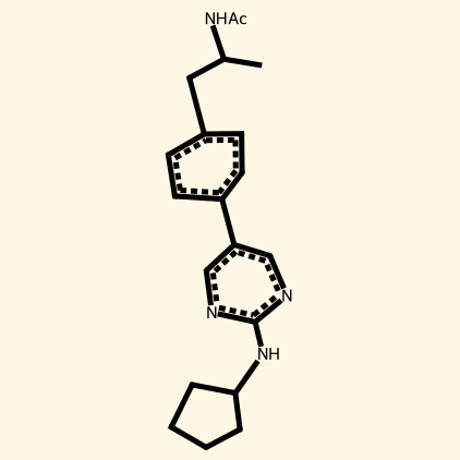 CC(=O)NC(C)Cc1ccc(-c2cnc(NC3CCCC3)nc2)cc1